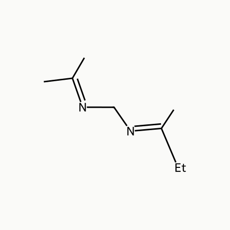 CCC(C)=NCN=C(C)C